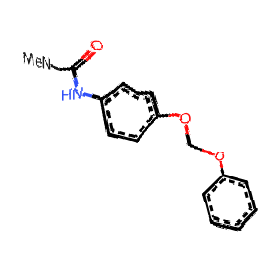 CNC(=O)Nc1ccc(OCOc2ccccc2)cc1